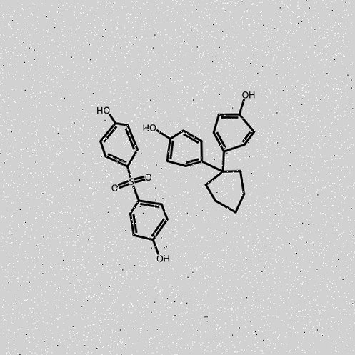 O=S(=O)(c1ccc(O)cc1)c1ccc(O)cc1.Oc1ccc(C2(c3ccc(O)cc3)CCCCC2)cc1